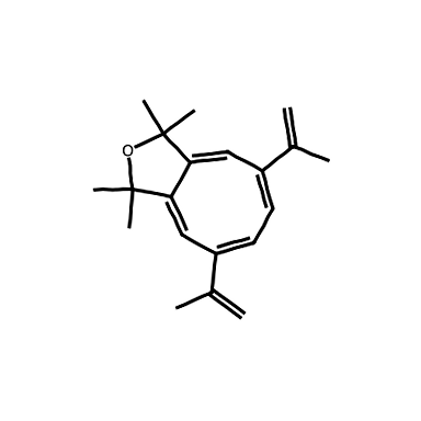 C=C(C)C1=CC=C(C(=C)C)/C=C2\C(=C/1)C(C)(C)OC2(C)C